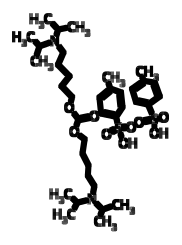 CC(C)N(CCCCCOC(=O)OCCCCCN(C(C)C)C(C)C)C(C)C.Cc1ccc(S(=O)(=O)O)cc1.Cc1ccc(S(=O)(=O)O)cc1